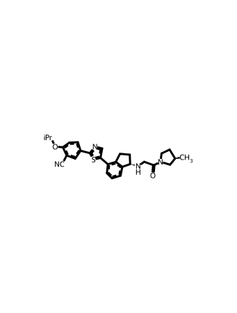 CC(C)Oc1ccc(-c2ncc(-c3cccc4c3CC[C@@H]4NCC(=O)N3CC[C@@H](C)C3)s2)cc1C#N